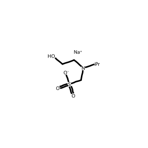 CC(C)N(CCO)CS(=O)(=O)[O-].[Na+]